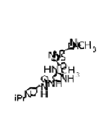 CC1NC=C(NC(=O)NCC2CCN(C(C)C)CC2)C=C1NC(=O)c1cnn2cc(-c3cnn(C)c3)sc12